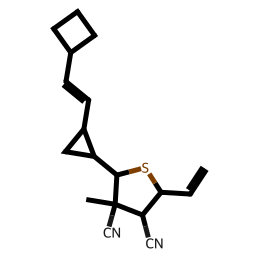 C=CC1SC(C2CC2/C=C/C2CCC2)C(C)(C#N)C1C#N